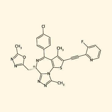 Cc1nnc(C[C@@H]2N=C(c3ccc(Cl)cc3)c3c(sc(C#Cc4ncccc4F)c3C)-n3c(C)nnc32)o1